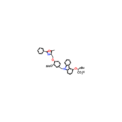 CCCCC(Oc1cccc2c1c1ccccc1n2Cc1ccc(OCc2nc(-c3ccccc3)oc2C)c(OC)c1)C(=O)O